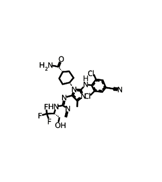 C=N/C(=N\c1c(C)nc(Nc2c(Cl)cc(C#N)cc2Cl)n1[C@H]1CC[C@@H](C(N)=O)CC1)N[C@H](CO)C(F)(F)F